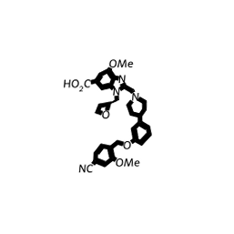 COc1cc(C#N)ccc1COc1cccc(C2CCN(Cc3nc4c(OC)cc(C(=O)O)cc4n3C[C@@H]3CCO3)CC2)c1